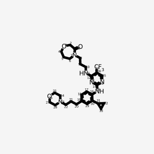 O=C1COCCCN1CCCNc1nc(Nc2ccc(CCCN3CCOCC3)cc2C2CC2)ncc1C(F)(F)F